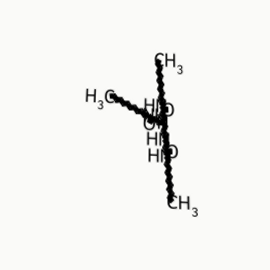 CCCCCCCCCCCNC(=O)CCNCCCN(CCC(=O)NCCCCCCCCCCC)CCC(=O)NCCCCCCCCCCC